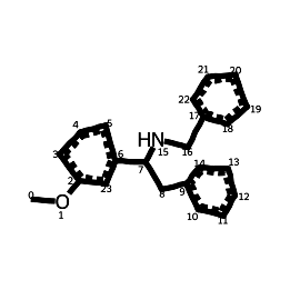 COc1cccc(C(Cc2ccccc2)NCc2ccccc2)c1